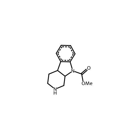 COC(=O)N1c2ccccc2C2CCNCC21